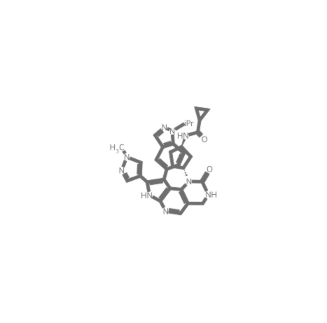 CC(C)n1ncc2cc(-c3c(-c4cnn(C)c4)[nH]c4ncc5c(c34)N([C@@H]3CC[C@@H](NC(=O)C4CC4)C3)C(=O)NC5)ccc21